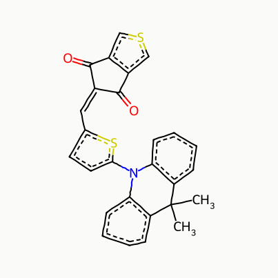 CC1(C)c2ccccc2N(c2ccc(C=C3C(=O)c4cscc4C3=O)s2)c2ccccc21